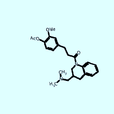 COc1cc(CCC(=O)N2CC(CN(C)C)Cc3ccccc32)ccc1OC(C)=O